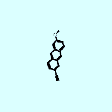 C#Cc1ccc2cc3cc(OC)ccc3cc2c1